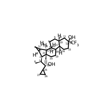 C[C@@H]([C@H]1[C@H]2C[C@H]2[C@H]2[C@@H]3CC[C@@H]4C[C@@](O)(C(F)(F)F)CC[C@@H]4[C@H]3CC[C@@]21C)[C@H](O)C1CC1